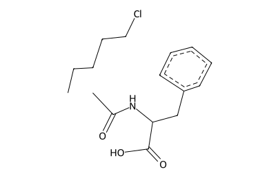 CC(=O)NC(Cc1ccccc1)C(=O)O.CCCCCCl